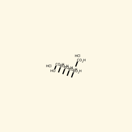 CC(=O)O.CC(=O)O.CC(=O)O.CC(=O)O.CC(=O)O.Cl.Cl.O=C(O)O